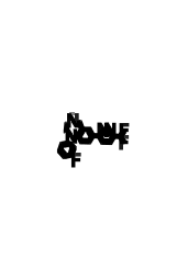 CN1CCN(c2cccc(F)c2)c2ccc(-c3ccc(C(F)F)nn3)cc2C1